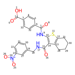 O=C(O)c1ccc(C(=O)Nc2sc3c(c2C(=O)NCc2cccc([N+](=O)[O-])c2)CCCC3)cc1